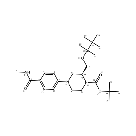 CNC(=O)c1ccc(N2CCN(C(=O)OC(C)(C)C)[C@H](CO[Si](C)(C)C(C)(C)C)C2)cn1